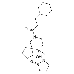 O=C1CCCN1CC1(O)CCN(C(=O)CCC2CCCCC2)CC12CCCC2